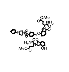 COC(=O)CCC(C(N)=O)N1Cc2c(O)cccc2C1=O.COC(=O)CCC(C(N)=O)N1Cc2c(OCc3ccc(S(=O)(=O)N4CCN(c5ccccc5)CC4)cc3)cccc2C1=O